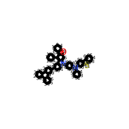 C1=Cc2oc3cc4c(c(-c5ccccc5)c3c2CC1)c1cc(-c2ccc3c5ccccc5c5ccccc5c3c2)ccc1n4-c1ccc(N(c2ccccc2)c2ccc3c(c2)sc2ccccc23)cc1